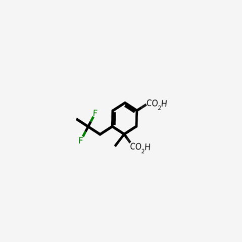 CC(F)(F)CC1=CC=C(C(=O)O)CC1(C)C(=O)O